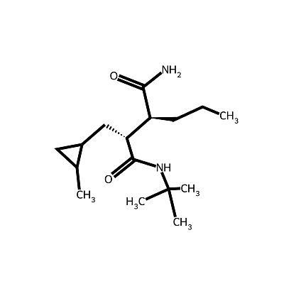 CCC[C@H](C(N)=O)[C@@H](CC1CC1C)C(=O)NC(C)(C)C